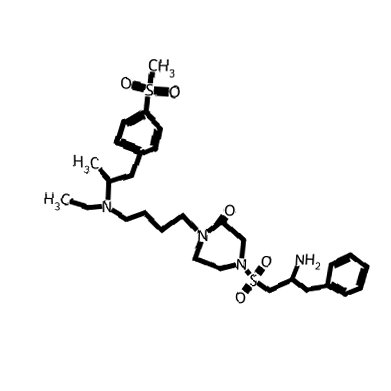 CCN(CCCCN1CCN(S(=O)(=O)CC(N)Cc2ccccc2)CC1=O)C(C)Cc1ccc(S(C)(=O)=O)cc1